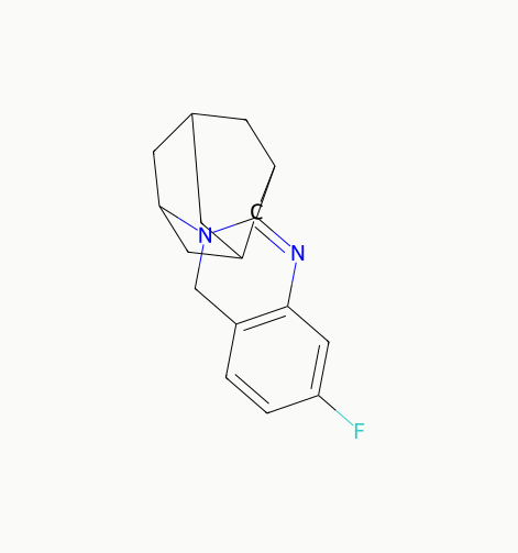 Fc1ccc2c(c1)N=C1C3CC4CC(C3)CC(C4)N1C2